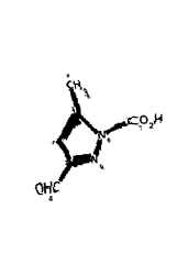 Cc1cc(C=O)nn1C(=O)O